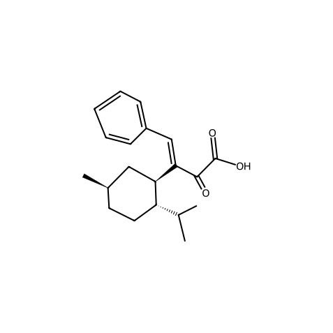 CC(C)[C@@H]1CC[C@@H](C)C[C@H]1/C(=C\c1ccccc1)C(=O)C(=O)O